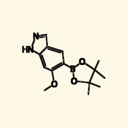 COc1cc2[nH]ncc2cc1B1OC(C)(C)C(C)(C)O1